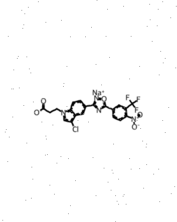 O=C([O-])CCn1cc(Cl)c2cc(-c3noc(-c4ccc([N+](=O)[O-])c(C(F)(F)F)c4)n3)ccc21.[Na+]